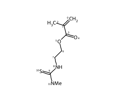 C=C(C)C(=O)OCCNC(=S)NC